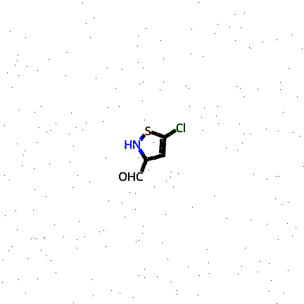 O=CC1C=C(Cl)SN1